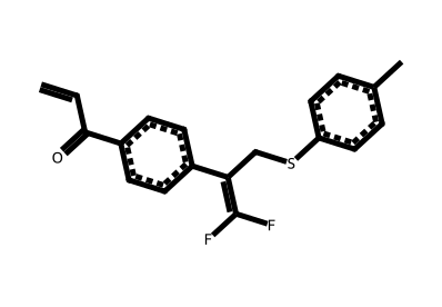 C=CC(=O)c1ccc(C(CSc2ccc(C)cc2)=C(F)F)cc1